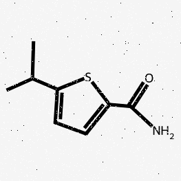 CC(C)c1ccc(C(N)=O)s1